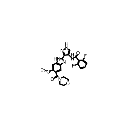 CCOc1cc2[nH]c(-c3n[nH]cc3NC(=O)c3c(F)cccc3F)nc2cc1C(=O)N1CCOCC1